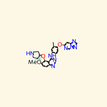 COc1ccc2ncnc(Nc3ccc(Oc4cc5ncnn5cn4)c(C)c3)c2c1O[C@@H]1CCNCC1(F)F